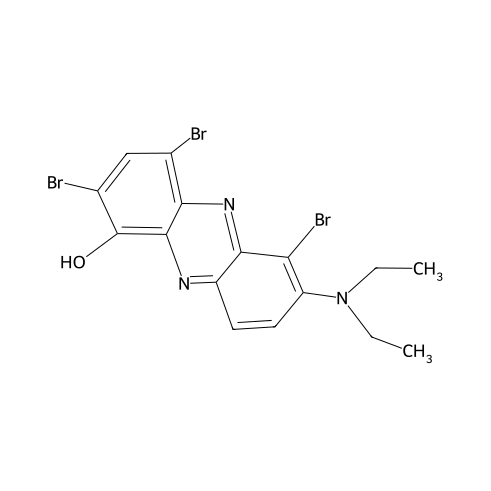 CCN(CC)c1ccc2nc3c(O)c(Br)cc(Br)c3nc2c1Br